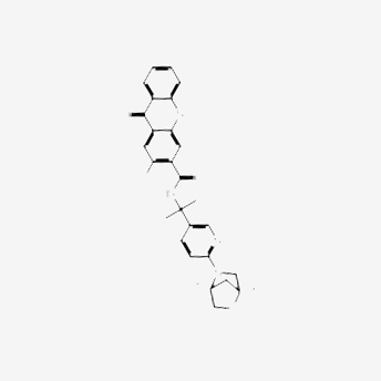 CC(C)(NC(=O)c1cc2[nH]c3ccccc3c(=O)c2cc1F)c1ccc(N2C[C@@H]3C[C@H]2CO3)nc1